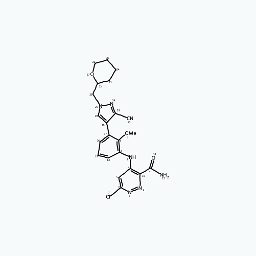 COc1c(Nc2cc(Cl)nnc2C(N)=O)cccc1-c1cn(CC2CCCCO2)nc1C#N